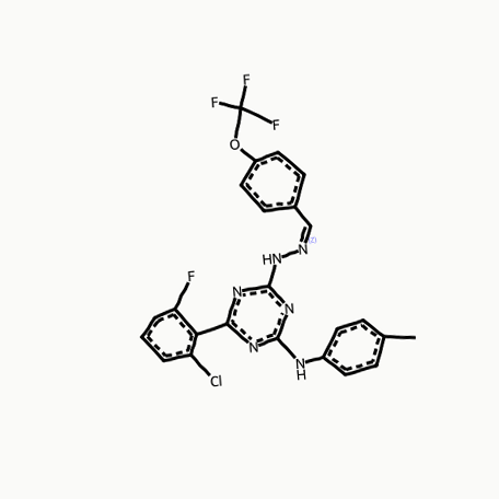 Cc1ccc(Nc2nc(N/N=C\c3ccc(OC(F)(F)F)cc3)nc(-c3c(F)cccc3Cl)n2)cc1